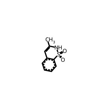 CC1=Cc2ccccc2S(=O)(=O)N1